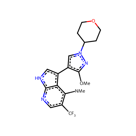 CNc1c(C(F)(F)F)cnc2[nH]cc(-c3cn(C4CCOCC4)nc3OC)c12